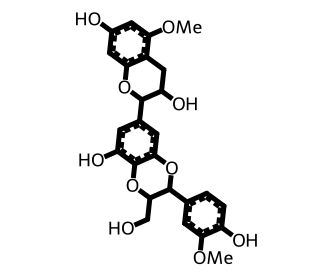 COc1cc(C2Oc3cc(C4Oc5cc(O)cc(OC)c5CC4O)cc(O)c3OC2CO)ccc1O